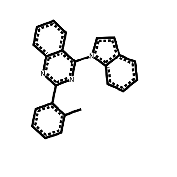 Cc1ccccc1-c1nc(-n2ccc3ccccc32)c2ccccc2n1